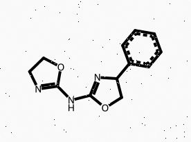 c1ccc(C2COC(NC3=NCCO3)=N2)cc1